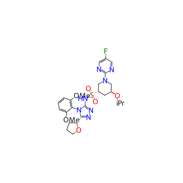 COc1cccc(OC)c1-n1c(NS(=O)(=O)[C@H]2C[C@H](OC(C)C)CN(c3ncc(F)cn3)C2)nnc1[C@H]1CCCO1